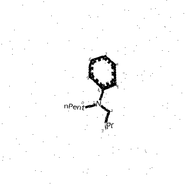 CCCCCN(CC(C)C)c1ccccc1